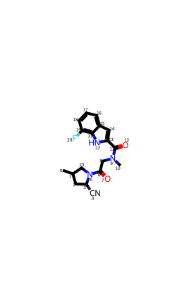 CC1CC(C#N)N(C(=O)CN(C)C(=O)c2cc3cccc(F)c3[nH]2)C1